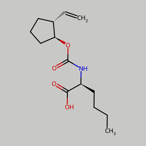 C=C[C@H]1CCC[C@@H]1OC(=O)N[C@@H](CCCC)C(=O)O